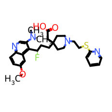 COc1ccc2ncc(N(C)C)c([C@@H](F)CCC3(CC(=O)O)CCN(CCSc4ccccn4)CC3)c2c1